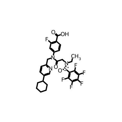 CCN(CC(=O)N(Cc1ccc(C2CCCCC2)cn1)c1ccc(C(=O)O)c(F)c1)[S+]([O-])c1c(F)c(F)c(F)c(F)c1F